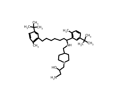 Cc1ccc(C(C)(C)C)cc1CCCCCCC(NCC1CCN(CC(O)CN)CC1)c1cc(C(C)(C)C)ccc1C